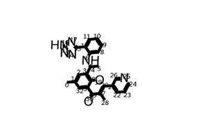 Cc1cc(C(C)Nc2ccccc2-c2nn[nH]n2)c2oc(-c3cccnc3)c(C)c(=O)c2c1